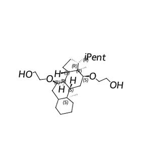 CCC[C@@H](C)[C@H]1CC[C@H]2[C@@H]3[C@H](OCCO)CC4CCCC[C@]4(C)[C@H]3C[C@H](OCCO)[C@]12C